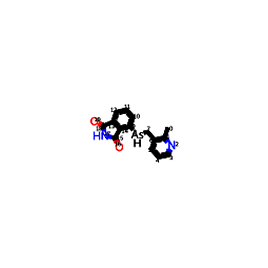 Cc1ncccc1C[AsH]c1cccc2c1C(=O)NC2=O